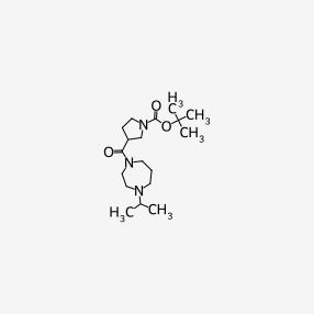 CC(C)N1CCCN(C(=O)C2CCN(C(=O)OC(C)(C)C)C2)CC1